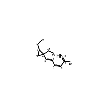 CCC1CC1(/C=C/C=C\C(C)=N)CC